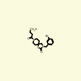 O=C(O)CCC(=O)N1CCC2(CC1)CN(Cc1cccc(Br)c1)C(=O)O2